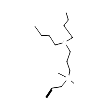 C=CC[Si](C)(C)CCCN(CCCC)CCCC